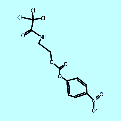 O=C(OCCNC(=O)C(Cl)(Cl)Cl)Oc1ccc([N+](=O)[O-])cc1